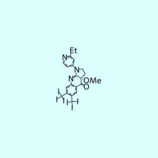 CCc1cc(N2CC[C@@]3(OC)C(=O)c4cc(C(I)(I)I)c(C(I)(I)I)cc4N=C23)ccn1